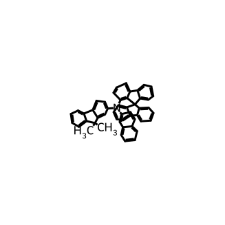 CC1(C)c2ccccc2-c2ccc(N(c3ccc4ccccc4c3)c3cccc4c3C3(c5ccccc5-c5ccccc53)c3ccccc3-4)cc21